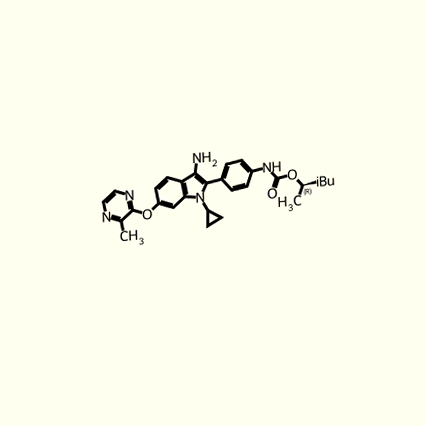 CCC(C)[C@@H](C)OC(=O)Nc1ccc(-c2c(N)c3ccc(Oc4nccnc4C)cc3n2C2CC2)cc1